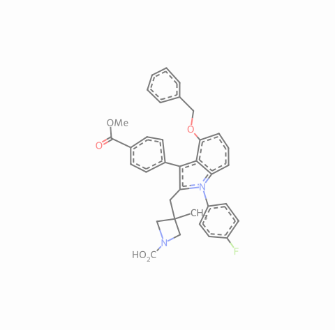 COC(=O)c1ccc(-c2c(CC3(C)CN(C(=O)O)C3)n(-c3ccc(F)cc3)c3cccc(OCc4ccccc4)c23)cc1